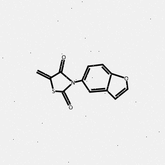 C=C1SC(=O)N(c2ccc3occc3c2)C1=O